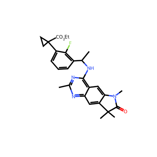 CCOC(=O)C1(c2cccc(C(C)Nc3nc(C)nc4cc5c(cc34)N(C)C(=O)C5(C)C)c2F)CC1